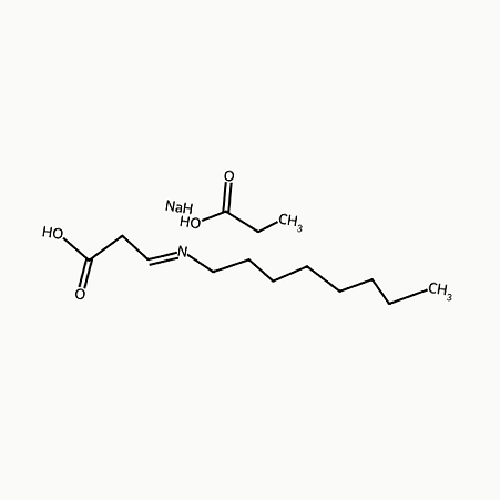 CCC(=O)O.CCCCCCCCN=CCC(=O)O.[NaH]